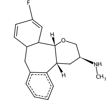 CN[C@@H]1CO[C@H]2C3C=C(F)C=CC3Cc3ccccc3[C@H]2C1